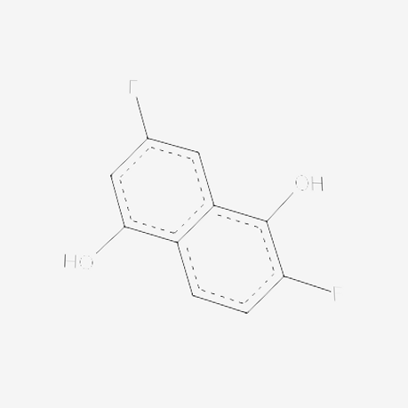 Oc1cc(F)cc2c(O)c(F)ccc12